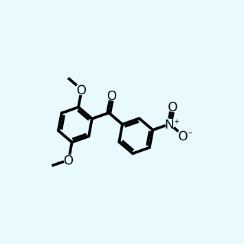 COc1ccc(OC)c(C(=O)c2cccc([N+](=O)[O-])c2)c1